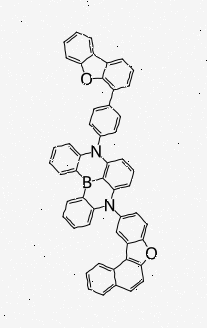 c1ccc2c(c1)B1c3ccccc3N(c3ccc4oc5ccc6ccccc6c5c4c3)c3cccc(c31)N2c1ccc(-c2cccc3c2oc2ccccc23)cc1